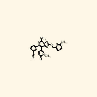 Cc1cccc(COc2nc3c(-c4ccc(=O)n(C)c4)c(-c4cccc(C#N)c4)nc(N)n3n2)n1